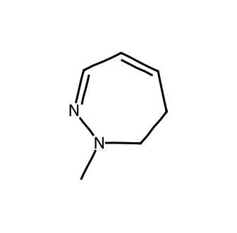 CN1CCC=CC=N1